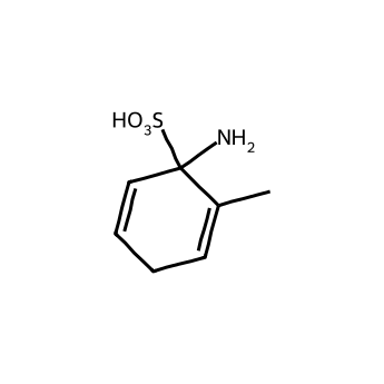 CC1=CCC=CC1(N)S(=O)(=O)O